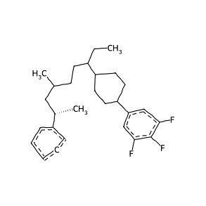 CCC(CCC(C)C[C@H](C)c1ccccc1)C1CCC(c2cc(F)c(F)c(F)c2)CC1